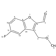 COCc1c(C=O)oc2ccc(F)cc12